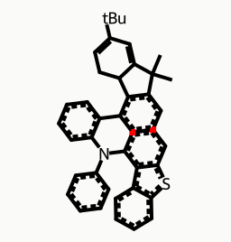 CC(C)(C)C1=CCC2C(=C1)C(C)(C)c1cccc(-c3ccccc3N(c3ccccc3)c3cccc4sc5ccccc5c34)c12